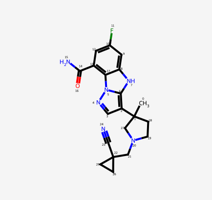 CC1(c2cnn3c2[nH]c2cc(F)cc(C(N)=O)c23)CCN(CC2(C#N)CC2)C1